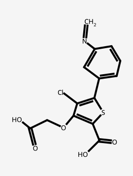 C=Nc1cccc(-c2sc(C(=O)O)c(OCC(=O)O)c2Cl)c1